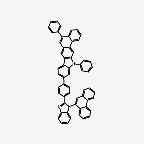 c1ccc(-c2nc3cc4c5ccc(-c6ccc(-c7nc8ccccc8n7-c7cc8ccccc8c8ccccc78)cc6)cc5n(-c5ccccc5)c4cc3c3ccccc23)cc1